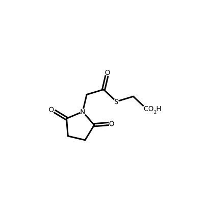 O=C(O)CSC(=O)CN1C(=O)CCC1=O